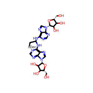 CCCCCCCCCCCC(Nc1ncnc2c1ncn2[C@@H]1O[C@H](CO)C(O)C1O)Nc1ncnc2c1ncn2[C@@H]1O[C@H](CO)C(O)C1O